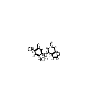 Cc1cc(OC2CN(C)Cc3occc32)ccc1Cl.Cl